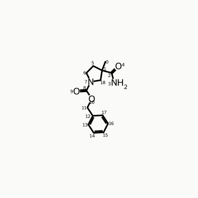 CC1(C(N)=O)CCN(C(=O)OCc2ccccc2)C1